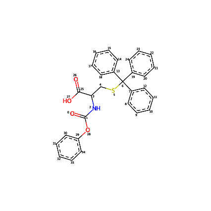 O=C(NC(CSC(c1ccccc1)(c1ccccc1)c1ccccc1)C(=O)O)Oc1ccccc1